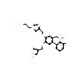 CCc1cccc2c1N(C)Cc1cc(OCc3cn(CCNC(C)=O)nn3)c(OCc3cn(CC)nn3)cc1-2